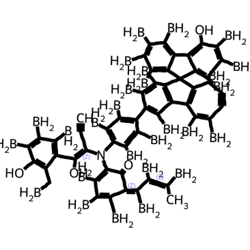 BCc1c(O)c(B)c(B)c(B)c1/C(O)=C(\C#C)N(C1=C(B)C(B)=C(B)/C(=C(B)/C(B)=C(/B)C)C1=O)c1c(B)c(B)c(-c2c(B)c(B)c3c(c2B)C2=C(C(B)C#CC(B)=C2B)C32c3c(B)c(B)c(B)c(B)c3-c3c(O)c(B)c(B)c(B)c32)c(B)c1B